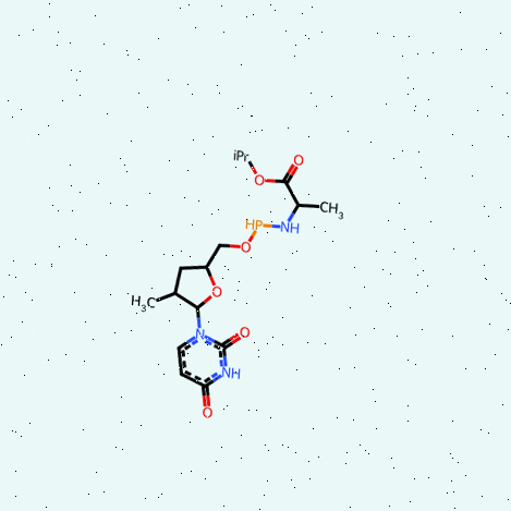 CC(C)OC(=O)C(C)NPOCC1CC(C)C(n2ccc(=O)[nH]c2=O)O1